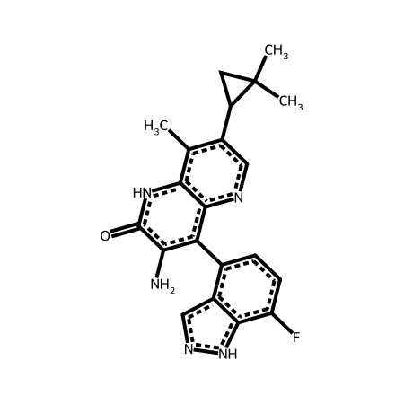 Cc1c(C2CC2(C)C)cnc2c(-c3ccc(F)c4[nH]ncc34)c(N)c(=O)[nH]c12